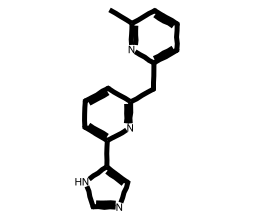 Cc1cccc(Cc2cccc(-c3cnc[nH]3)n2)n1